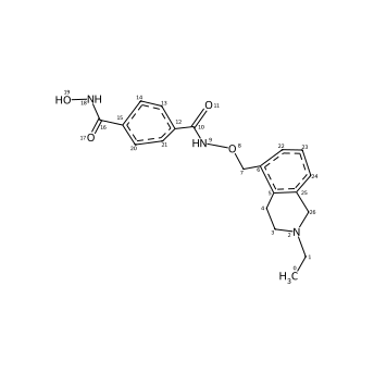 CCN1CCc2c(CONC(=O)c3ccc(C(=O)NO)cc3)cccc2C1